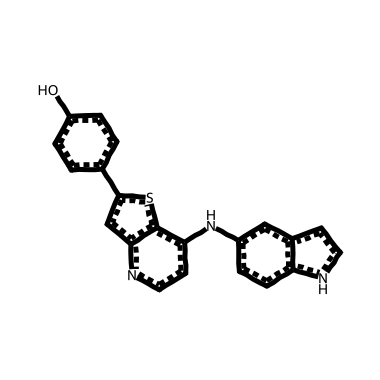 Oc1ccc(-c2cc3nccc(Nc4ccc5[nH]ccc5c4)c3s2)cc1